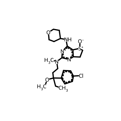 CCC(CCN(C)c1nc2c(c(NC3CCOCC3)n1)[S+]([O-])CC2)(OC)c1ccc(Cl)cc1